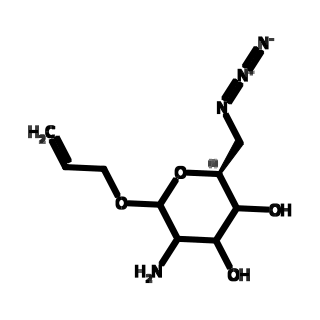 C=CCOC1O[C@@H](CN=[N+]=[N-])C(O)C(O)C1N